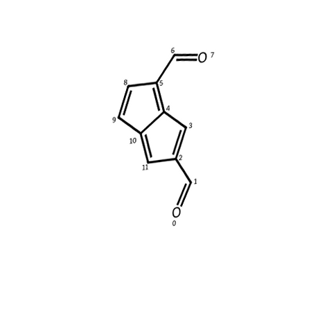 O=CC1=CC2=C(C=O)C=CC2=C1